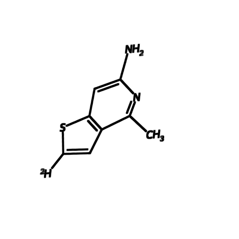 [2H]c1cc2c(C)nc(N)cc2s1